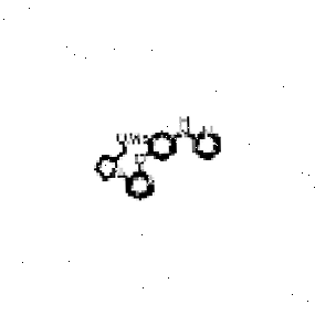 COCC1CCCN1c1cccnc1Oc1ccc(Nc2ccccn2)cc1